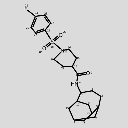 O=C(NC1CCC2CC3CC2CC1C3)C1CCN(S(=O)(=O)c2ccc(F)cc2)CC1